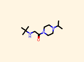 CC(C)N1CCN(C(=O)CNC(C)(C)C)CC1